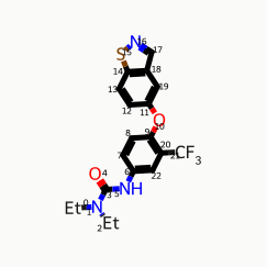 CCN(CC)C(=O)Nc1ccc(Oc2ccc3sncc3c2)c(C(F)(F)F)c1